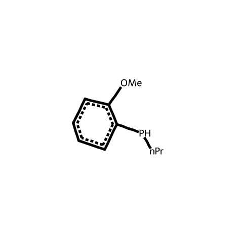 [CH]CCPc1ccccc1OC